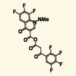 CNn1cc(C(=O)OC(=O)CC(=O)c2cc(F)c(F)c(F)c2F)c(=O)c2cc(F)c(F)c(F)c21